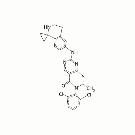 CC1Sc2nc(Nc3ccc4c(c3)CCNC43CC3)ncc2C(=O)N1c1c(Cl)cccc1Cl